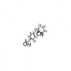 N#CC1(Cc2ccc(CCO)cc2)CCCCC1